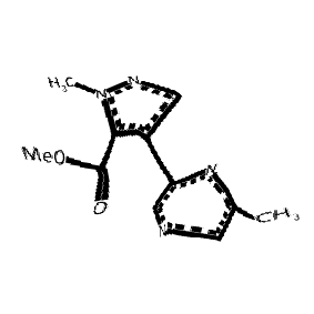 COC(=O)c1c(-c2cncc(C)n2)cnn1C